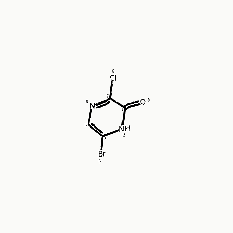 O=c1[nH]c(Br)cnc1Cl